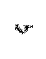 Cc1nc(C#N)cc(OCC[C@@H]2C[C@@H]2C2CCN(C(=O)OC3(C)CC3)CC2)n1